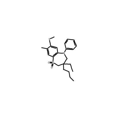 CCCCC1(CC)CN(c2ccccc2)c2cc(SC)c(C)cc2S(=O)(=O)C1